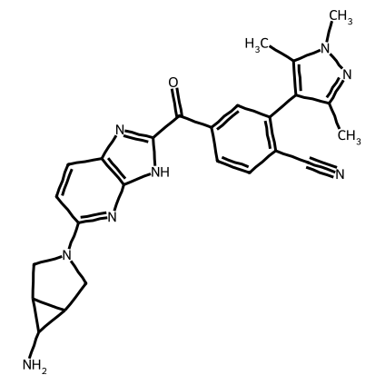 Cc1nn(C)c(C)c1-c1cc(C(=O)c2nc3ccc(N4CC5C(N)C5C4)nc3[nH]2)ccc1C#N